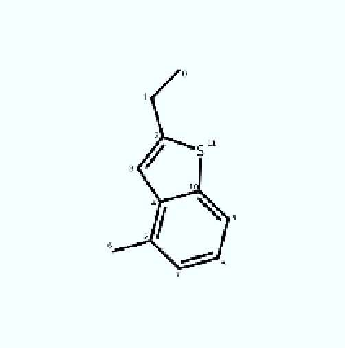 CCc1cc2c(C)cccc2s1